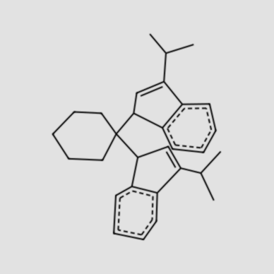 CC(C)C1=CC(C2(C3C=C(C(C)C)c4ccccc43)CCCCC2)c2ccccc21